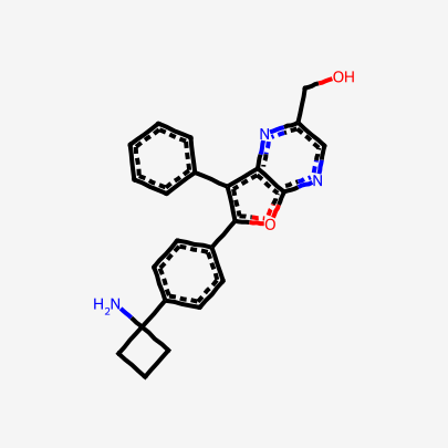 NC1(c2ccc(-c3oc4ncc(CO)nc4c3-c3ccccc3)cc2)CCC1